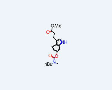 CCCCN(C)C(=O)Oc1ccc2c(CCC(=O)OC)c[nH]c2c1